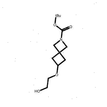 CC(C)(C)OC(=O)N1CC2(CC(OCCO)C2)C1